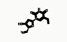 [2H]C[C@H]1O[C@@H](n2cc(CC)c(=O)[nH]c2=O)CC1O